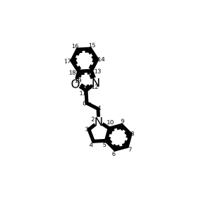 [CH](CN1CCc2ccccc21)c1nc2ccccc2o1